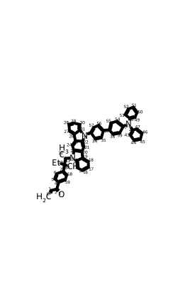 C=CC(=O)c1ccc(C(C)(CC)C(C)n2c3ccccc3c3cc4c(cc32)c2ccccc2n4-c2ccc(-c3ccc(N(c4ccccc4)c4ccccc4)cc3)cc2)cc1